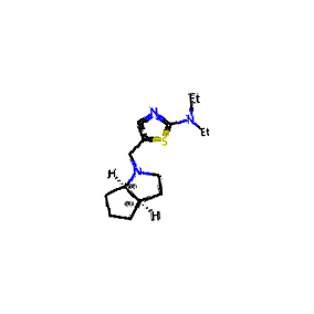 CCN(CC)c1ncc(CN2CC[C@H]3CCC[C@H]32)s1